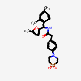 Cc1ccc(C(NC(=O)Cc2ccc(N3CCS(=O)(=O)CC3)cc2)c2ccc(C)o2)c(C(F)(F)F)c1